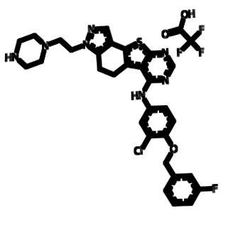 Fc1cccc(COc2ccc(Nc3ncnc4sc5c(c34)CCc3c-5cnn3CCN3CCNCC3)cc2Cl)c1.O=C(O)C(F)(F)F